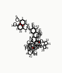 COc1ccc(CN(Cc2ccc(OC)cc2)c2cc(-c3nc4c5c(nc(N6CCC67CCC7O)nc5c3F)N3C[C@H]5CC[C@@H]([C@H]3[C@H](C)O4)N5C(=O)OC(C)(C)C)c(C(F)(F)F)c(C)c2F)cc1